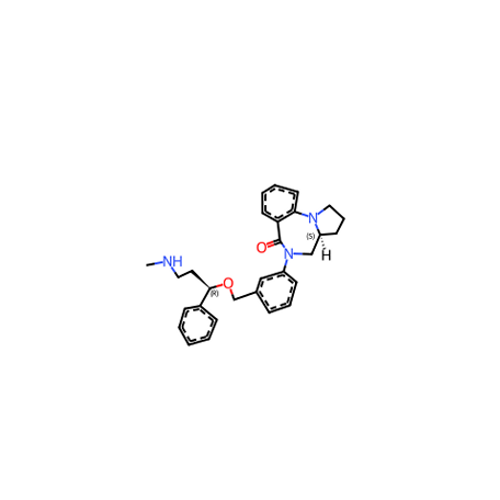 CNCC[C@@H](OCc1cccc(N2C[C@@H]3CCCN3c3ccccc3C2=O)c1)c1ccccc1